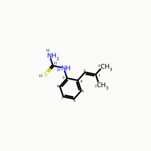 CC(C)=Cc1ccccc1NC(N)=S